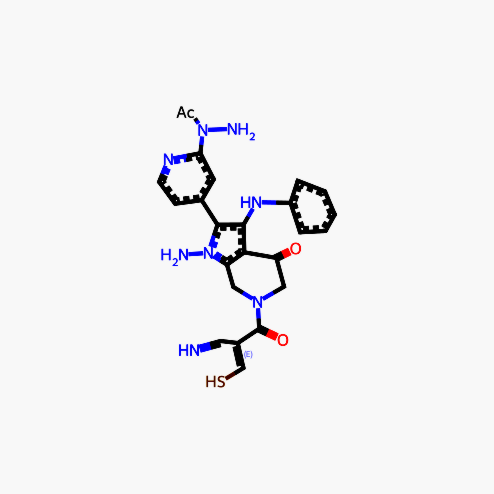 CC(=O)N(N)c1cc(-c2c(Nc3ccccc3)c3c(n2N)CN(C(=O)/C(C=N)=C/S)CC3=O)ccn1